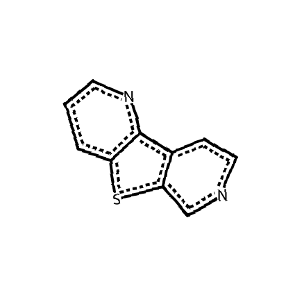 c1cnc2c(c1)sc1cnccc12